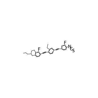 CCCC1CCc2c(ccc(C#Cc3ccc(C#Cc4ccc(N=C=S)c(F)c4)cc3CC)c2F)C1